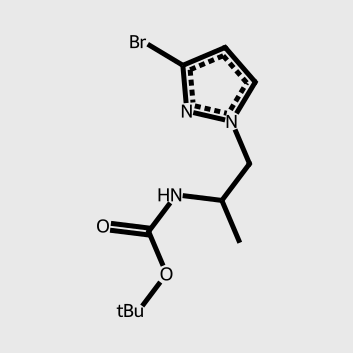 CC(Cn1ccc(Br)n1)NC(=O)OC(C)(C)C